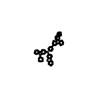 c1ccc(-n2c3ccccc3c3ccc(N(c4ccc(-c5ccc6c(c5)-c5ccccc5C65CC6CCC7CC6CC5C7)cc4)c4ccc5c(c4)sc4ccccc45)cc32)cc1